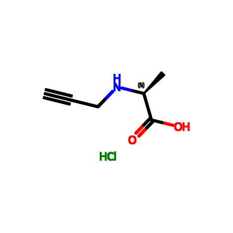 C#CCN[C@@H](C)C(=O)O.Cl